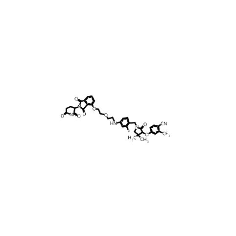 CC1(C)CN(Cc2ccc(NCCOCCOc3cccc4c3C(=O)N(C3CCC(=O)NC3=O)C4=O)cc2F)C(=O)C1Oc1ccc(C#N)c(C(F)(F)F)c1